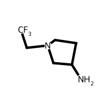 NC1CCN(CC(F)(F)F)C1